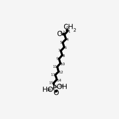 C=CC(=O)CCCCCCCCCCCCP(=O)(O)O